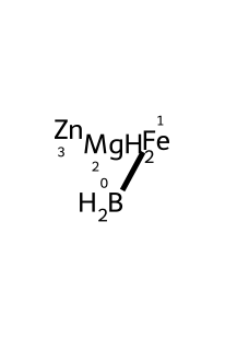 [BH2][Fe].[MgH2].[Zn]